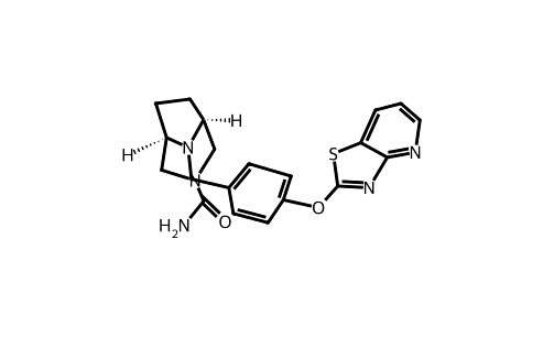 NC(=O)N1C[C@H]2CC[C@@H](C1)N2Cc1ccc(Oc2nc3ncccc3s2)cc1